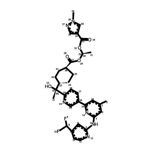 Cc1cc(Nc2cc(C(F)F)ccn2)nc(-c2ccc([C@](C)(O)[C@H]3CC[C@H](C(=O)O[C@H](C)OC(=O)c4cnn(C)c4)CC3)nc2)c1